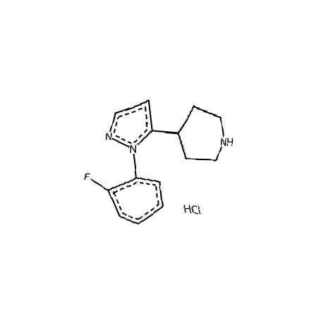 Cl.Fc1ccccc1-n1nccc1C1CCNCC1